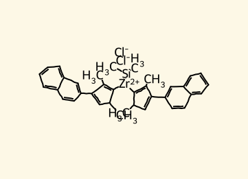 CC1=[C]([Zr+2]([C]2=C(C)C(c3ccc4ccccc4c3)=CC2C)=[Si](C)C)C(C)C=C1c1ccc2ccccc2c1.[Cl-].[Cl-]